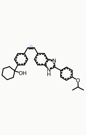 CC(C)Oc1ccc(-c2nc3cc(/C=C\c4ccc(C5(O)CCCCC5)cc4)ccc3[nH]2)cc1